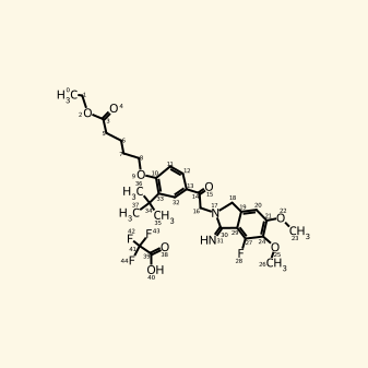 CCOC(=O)CCCCOc1ccc(C(=O)CN2Cc3cc(OC)c(OC)c(F)c3C2=N)cc1C(C)(C)C.O=C(O)C(F)(F)F